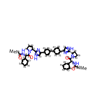 CNC(=O)N[C@@H](C(=O)N1CC=CC1c1nc(-c2ccc(-c3ccc(-c4c[nH]c([C@@H]5CCCN5C(=O)[C@H](NC(=O)NC)c5ccccc5)n4)cc3)cc2)c[nH]1)c1ccccc1